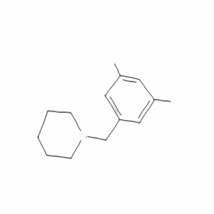 Fc1cc(F)cc(CN2CCCCC2)c1